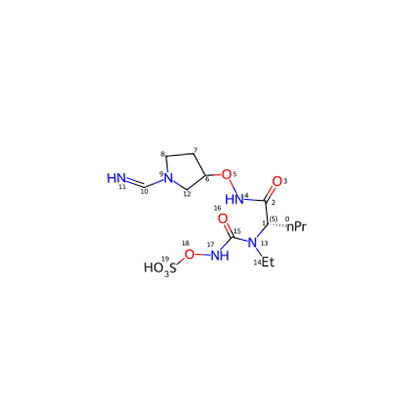 CCC[C@@H](C(=O)NOC1CCN(C=N)C1)N(CC)C(=O)NOS(=O)(=O)O